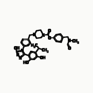 CC(C)c1cc(-c2nnc(O)n2-c2ccc(CN3CCN(C(=O)Oc4ccc(CN(C)C=O)cc4)CC3)cc2)c(O)cc1O